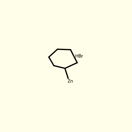 Br.[Zn][CH]1CCCCC1